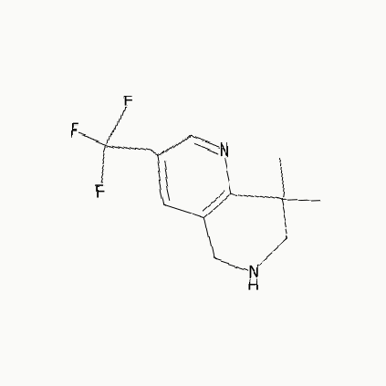 CC1(C)CNCc2cc(C(F)(F)F)cnc21